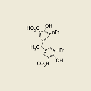 CCCc1cc(C(C)c2cc(C(=O)O)c(O)c(C(C)C)c2)cc(C(=O)O)c1O